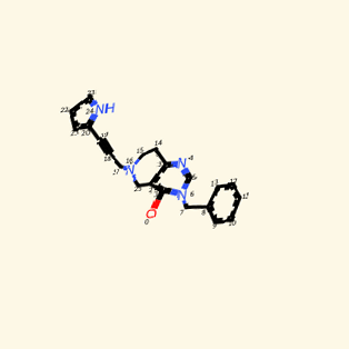 O=c1c2c(ncn1Cc1ccccc1)CCN(CC#Cc1ccc[nH]1)C2